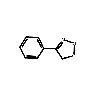 c1ccc(C2=NOOC2)cc1